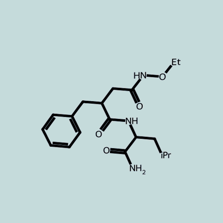 CCONC(=O)CC(Cc1ccccc1)C(=O)NC(CC(C)C)C(N)=O